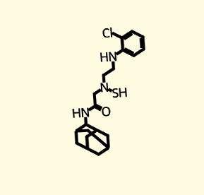 O=C(CN(S)CCNc1ccccc1Cl)NC1C2CC3CC(C2)CC1C3